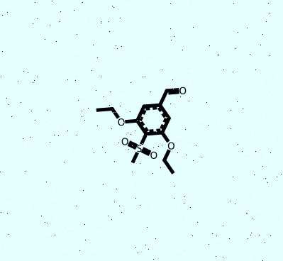 CCOc1cc(C=O)cc(OCC)c1S(C)(=O)=O